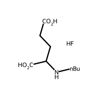 CCCCNC(CCC(=O)O)C(=O)O.F